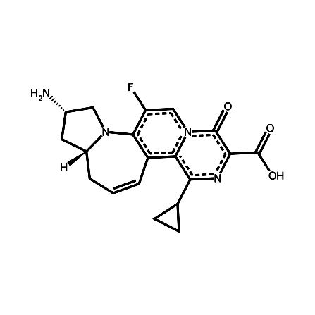 N[C@H]1C[C@H]2CC=Cc3c(c(F)cn4c(=O)c(C(=O)O)nc(C5CC5)c34)N2C1